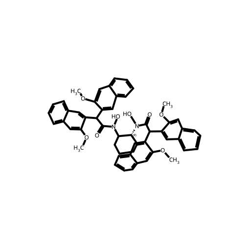 COc1cc2ccccc2cc1C(C(=O)N(O)C1CCCC[C@H]1N(O)C(=O)C(c1cc2ccccc2cc1OC)c1cc2ccccc2cc1OC)c1cc2ccccc2cc1OC